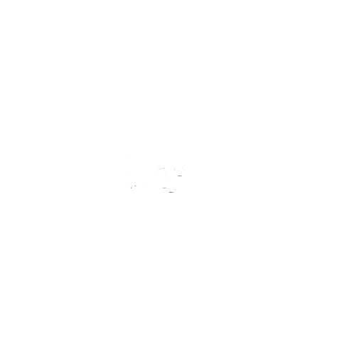 C=C(C)C(=O)OCC(COC(=O)C(C)=O)(COC(=O)C(C)=O)COc1ccc(-c2ccc(C3CCC(CCCCCC)CC3)cc2F)c(OC(=O)C(=C)C)c1